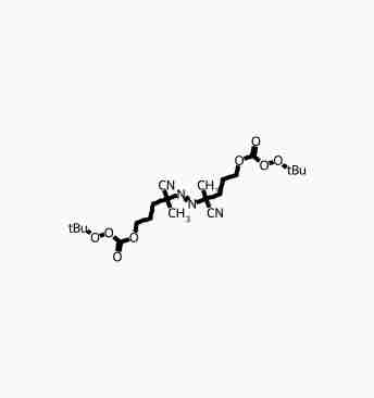 CC(C#N)(CCCOC(=O)OOC(C)(C)C)N=NC(C)(C#N)CCCOC(=O)OOC(C)(C)C